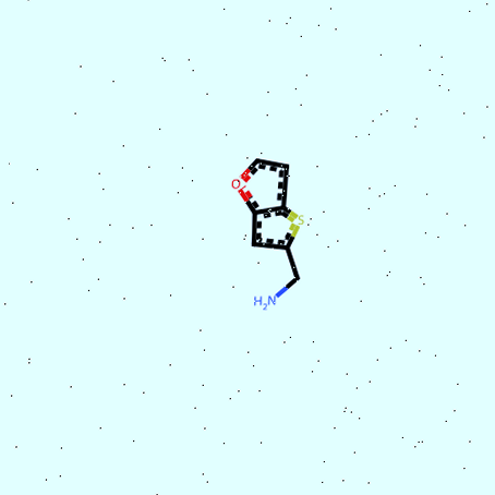 NCc1cc2occc2s1